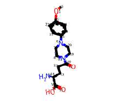 COc1ccc(N2CCN(C(=O)CC[C@H](N)C(=O)O)CC2)cc1